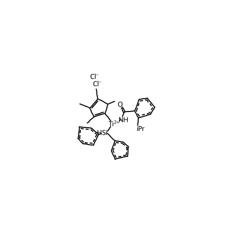 CC1=C(C)C(C)[C]([Ti+2]([NH]C(=O)c2ccccc2C(C)C)[SiH](c2ccccc2)c2ccccc2)=C1C.[Cl-].[Cl-]